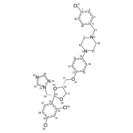 Clc1ccc(CN2CCN(c3ccc(OC[C@@H]4CO[C@@](Cn5cncn5)(c5ccc(Cl)cc5Cl)O4)cc3)CC2)cc1